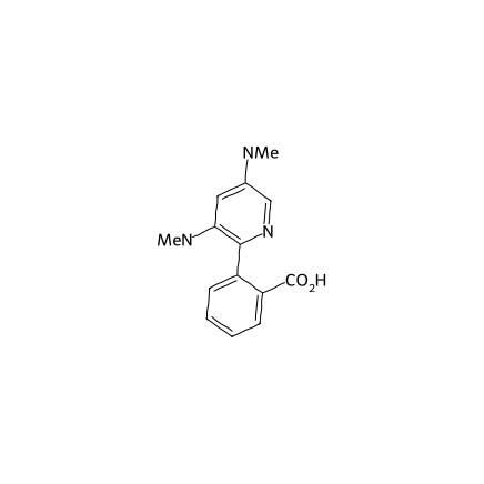 CNc1cnc(-c2ccccc2C(=O)O)c(NC)c1